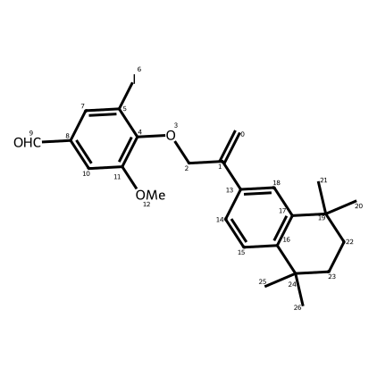 C=C(COc1c(I)cc(C=O)cc1OC)c1ccc2c(c1)C(C)(C)CCC2(C)C